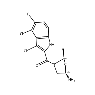 C[C@H]1C[C@@H](N)CN1C(=O)c1[nH]c2ccc(F)c(Cl)c2c1Cl